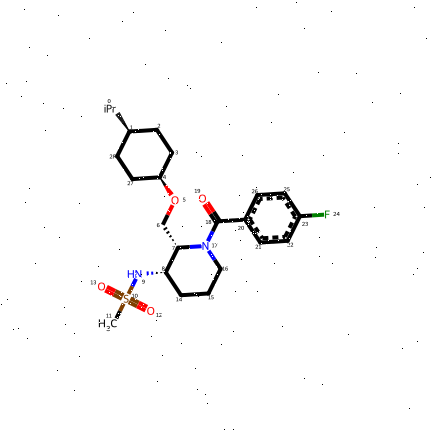 CC(C)[C@H]1CC[C@@H](OC[C@H]2[C@@H](NS(C)(=O)=O)CCCN2C(=O)c2ccc(F)cc2)CC1